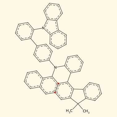 CC1(C)c2ccccc2-c2c(-c3ccccc3N(c3ccc(-c4ccccc4-n4c5ccccc5c5ccccc54)cc3)c3cccc4ccccc34)cccc21